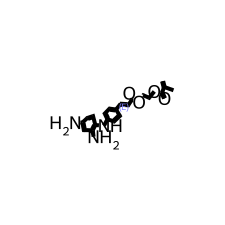 C=C(C)C(=O)OCCOC(=O)/C=C/c1ccc(Nc2ccc(N)cc2N)cc1